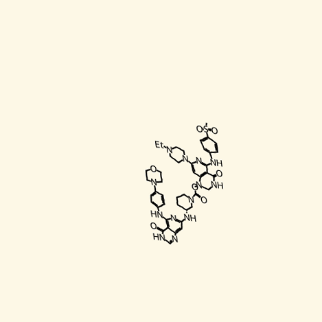 CCN1CCN(c2cc3c(c(Nc4ccc(S(C)(=O)=O)cc4)n2)C(=O)NCN3OC(=O)N2CCC[C@@H](Nc3cc4nc[nH]c(=O)c4c(Nc4ccc(N5CCOCC5)cc4)n3)C2)CC1